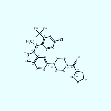 C[C@H](c1ccc(Cl)cc1C(F)(F)F)n1nnc2ccc(N3CCN(C(=O)[C@H]4CCCN4)CC3)cc21